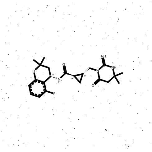 CC1(C)CC(=O)N(C[C@@H]2C[C@H]2C(=O)N[C@H]2CC(C)(C)Oc3cccc(F)c32)C(=N)N1